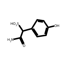 NC(=O)C(c1ccc(O)cc1)S(=O)(=O)O